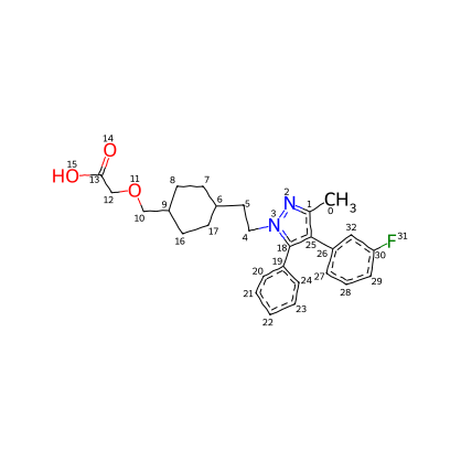 Cc1nn(CCC2CCC(COCC(=O)O)CC2)c(-c2ccccc2)c1-c1cccc(F)c1